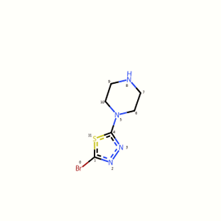 Brc1nnc(N2CCNCC2)s1